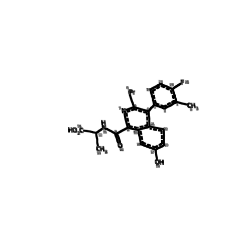 Cc1cc(-c2c(C(C)C)nc(C(=O)NC(C)C(=O)O)c3cc(O)ccc23)ccc1F